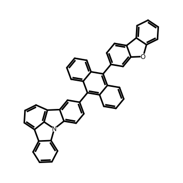 c1ccc2c(c1)oc1cc(-c3c4ccccc4c(-c4ccc5c(c4)c4cccc6c7ccccc7n5c64)c4ccccc34)ccc12